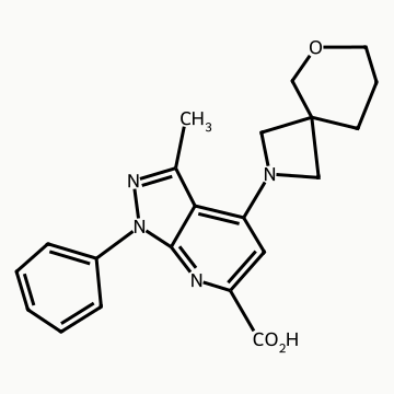 Cc1nn(-c2ccccc2)c2nc(C(=O)O)cc(N3CC4(CCCOC4)C3)c12